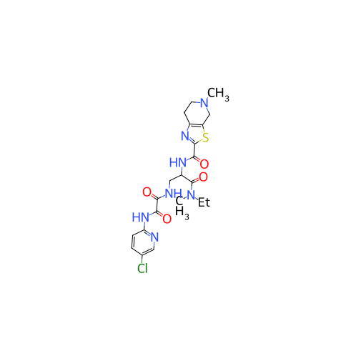 CCN(C)C(=O)C(CNC(=O)C(=O)Nc1ccc(Cl)cn1)NC(=O)c1nc2c(s1)CN(C)CC2